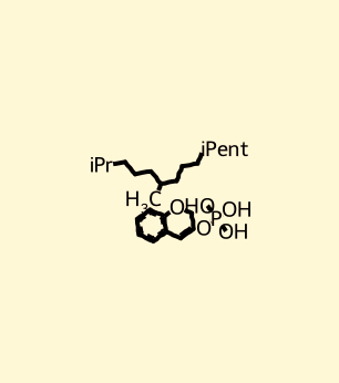 C1=Cc2ccccc2OC1.CCCC(C)CCCC(C)CCCC(C)C.O=P(O)(O)O